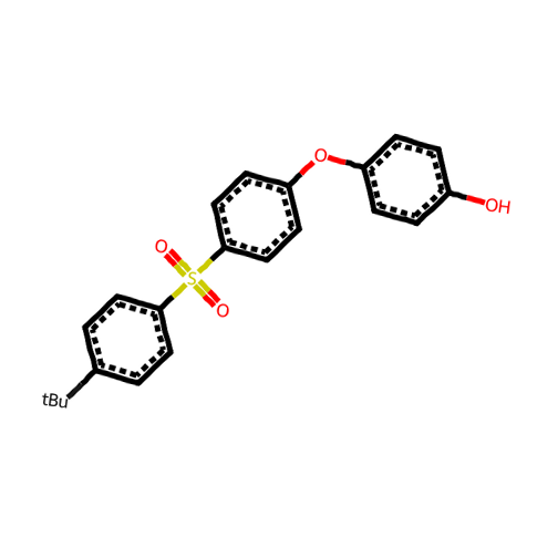 CC(C)(C)c1ccc(S(=O)(=O)c2ccc(Oc3ccc(O)cc3)cc2)cc1